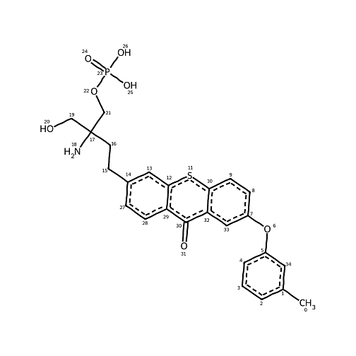 Cc1cccc(Oc2ccc3sc4cc(CCC(N)(CO)COP(=O)(O)O)ccc4c(=O)c3c2)c1